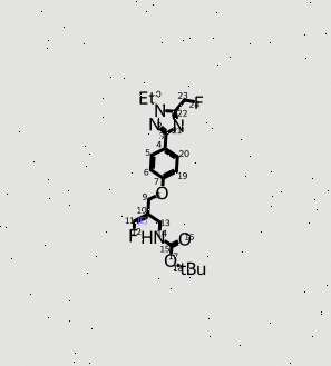 CCn1nc(-c2ccc(OC/C(=C/F)CNC(=O)OC(C)(C)C)cc2)nc1CF